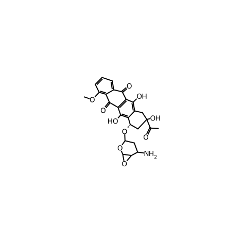 COc1cccc2c1C(=O)c1c(O)c3c(c(O)c1C2=O)CC(O)(C(C)=O)C[C@@H]3OC1CC(N)C2OC2O1